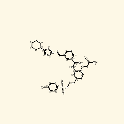 O=C(O)COc1ccc(CCCS(=O)(=O)c2ccc(Cl)cc2)cc1NC(=O)c1cccc(C=Cc2ncc(C3CCCCC3)s2)c1